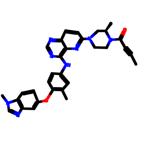 CC#CC(=O)N1CCN(c2ccc3ncnc(Nc4ccc(Oc5ccc6c(c5)ncn6C)c(C)c4)c3n2)C[C@H]1C